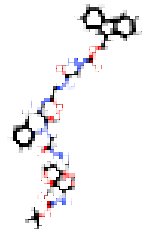 CC(C)(C)OC(=O)N[C@H]1CO[C@H]2[C@@H]1OC[C@@H]2NC(=O)CNC(=O)[C@H](Cc1ccccc1)NC(=O)CNC(=O)CNC(=O)OCC1c2ccccc2-c2ccccc21